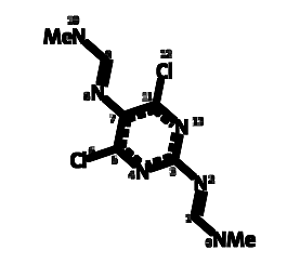 CNC=Nc1nc(Cl)c(N=CNC)c(Cl)n1